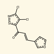 O=C(/C=C/c1ccoc1)c1snc(Cl)c1Cl